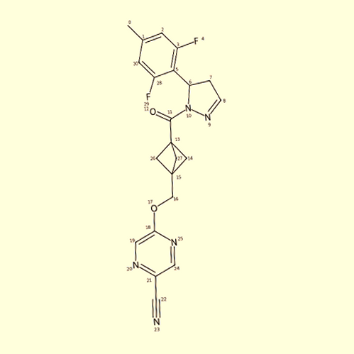 Cc1cc(F)c(C2CC=NN2C(=O)C23CC(COc4cnc(C#N)cn4)(C2)C3)c(F)c1